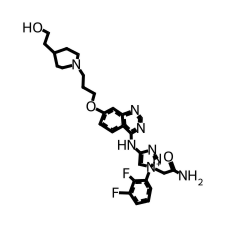 NC(=O)C[N+]1(c2cccc(F)c2F)C=C(Nc2ncnc3cc(OCCCN4CCC(CCO)CC4)ccc23)N=N1